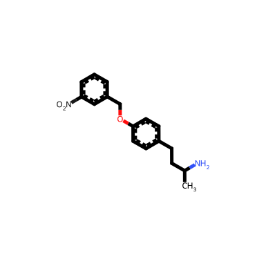 CC(N)CCc1ccc(OCc2cccc([N+](=O)[O-])c2)cc1